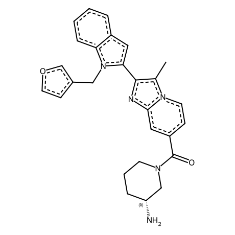 Cc1c(-c2cc3ccccc3n2Cc2ccoc2)nc2cc(C(=O)N3CCC[C@@H](N)C3)ccn12